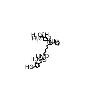 CC(C)(C)c1ccc(-n2nc(-c3ccccn3)cc2CCCCCC(=O)NC(=O)C(N)Cc2ccc(CO)cc2)cc1